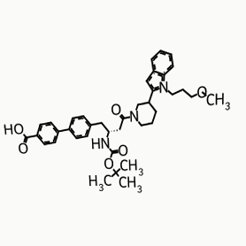 COCCCn1c(C2CCCN(C(=O)C[C@@H](Cc3ccc(-c4ccc(C(=O)O)cc4)cc3)NC(=O)OC(C)(C)C)C2)cc2ccccc21